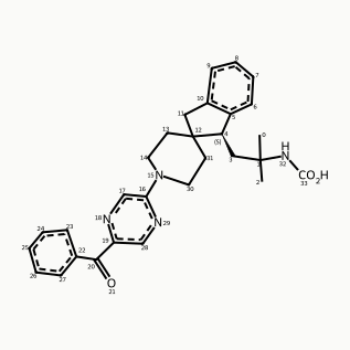 CC(C)(C[C@@H]1c2ccccc2CC12CCN(c1cnc(C(=O)c3ccccc3)cn1)CC2)NC(=O)O